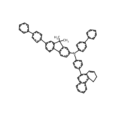 CC1(C)c2cc(-c3ccc(-c4ccccc4)cc3)ccc2-c2ccc(N(c3ccc(-c4ccccc4)cc3)c3ccc(-c4cc5ccccc5c5c4C=CCC5)cc3)cc21